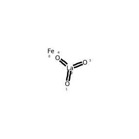 [Fe].[O]=[La](=[O])=[O]